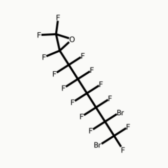 FC(F)(Br)C(F)(Br)C(F)(F)C(F)(F)C(F)(F)C(F)(F)C1(F)OC1(F)F